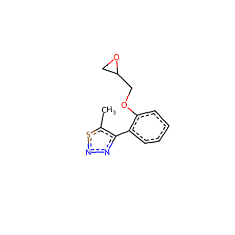 Cc1snnc1-c1ccccc1OCC1CO1